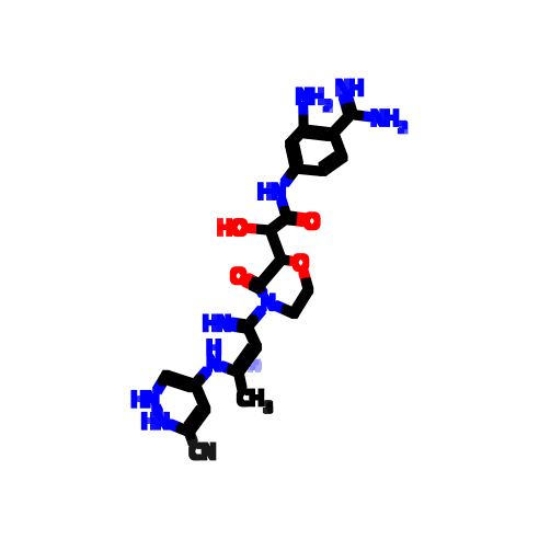 C/C(=C/C(=N)N1CCOC(C(O)C(=O)Nc2ccc(C(=N)N)c(N)c2)C1=O)NC1=CNNC(C#N)=C1